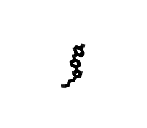 OCCCn1nnc(-c2ccc(Oc3ccc(Br)cn3)cc2)n1